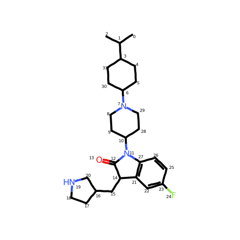 CC(C)C1CCC(N2CCC(N3C(=O)C(CC4CCNC4)c4cc(F)ccc43)CC2)CC1